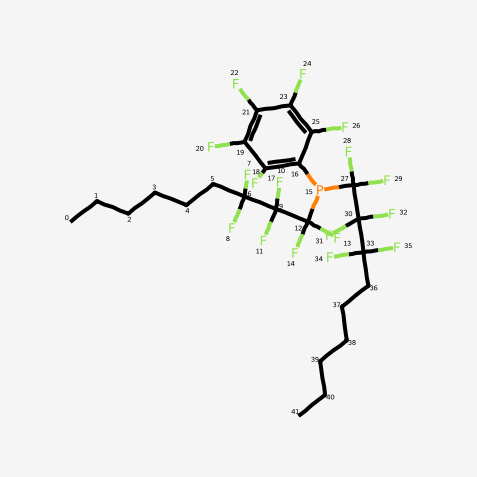 CCCCCCC(F)(F)C(F)(F)C(F)(F)P(c1c(F)c(F)c(F)c(F)c1F)C(F)(F)C(F)(F)C(F)(F)CCCCCC